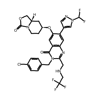 O=C1OC[C@@H]2C[C@@H](Oc3cc4c(=O)n(Cc5ccc(Cl)cc5)c(CNCC(F)(F)F)nc4cc3-c3cnn(C(F)F)c3)CCN12